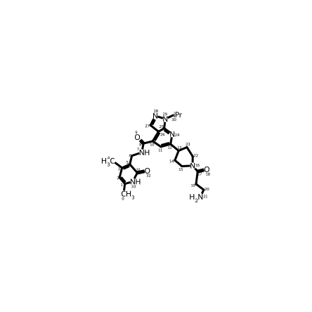 Cc1cc(C)c(CNC(=O)c2cc(C3CCN(C(=O)CCN)CC3)nc3c2cnn3C(C)C)c(=O)[nH]1